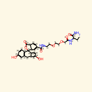 CCC(NC(=O)COCCOCCNC(=O)C1=CC2C(C=C1)C(=O)OC21c2ccc(O)cc2CC2C=C(O)C=CC21)C(N)=O